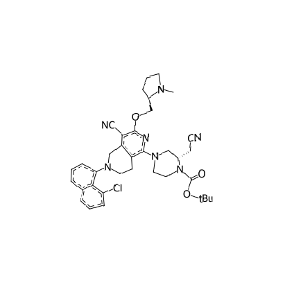 CN1CCC[C@@H]1COc1nc(N2CCN(C(=O)OC(C)(C)C)[C@@H](CC#N)C2)c2c(c1C#N)CN(c1cccc3cccc(Cl)c13)CC2